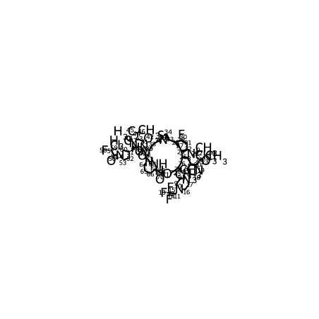 CCn1c(-c2cc(N3CCN(CC(F)(F)F)CC3)cnc2[C@H](C)OC)c2c3cc(c(F)cc31)-c1csc(n1)C[C@H](NC(=O)[C@H](C(C)C)N(C)C(=O)[C@H]1CCN(C(=O)[C@H](F)Cl)C1)C(=O)N1CCC[C@H](N1)C(=O)OCC(C)(C)C2